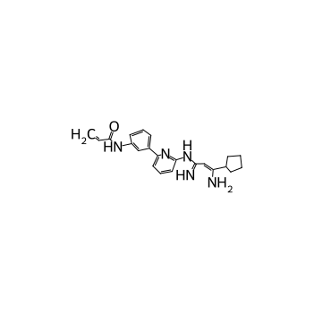 C=CC(=O)Nc1cccc(-c2cccc(NC(=N)/C=C(\N)C3CCCC3)n2)c1